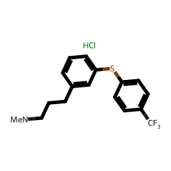 CNCCCc1cccc(Sc2ccc(C(F)(F)F)cc2)c1.Cl